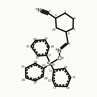 N#CC1CCCC(/C=N/O[Si](c2ccccc2)(c2ccccc2)c2ccccc2)C1